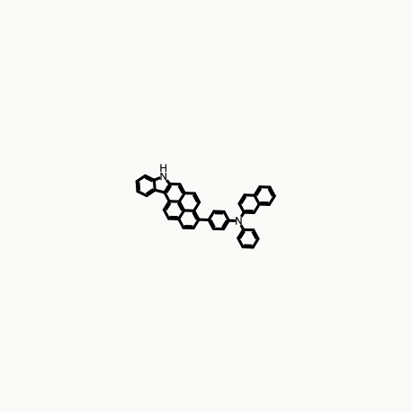 c1ccc(N(c2ccc(-c3ccc4ccc5c6c(cc7ccc3c4c75)[nH]c3ccccc36)cc2)c2ccc3ccccc3c2)cc1